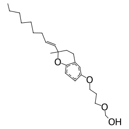 CCCCCCC/C=C/C1(C)CCc2cc(OCCCOCO)ccc2O1